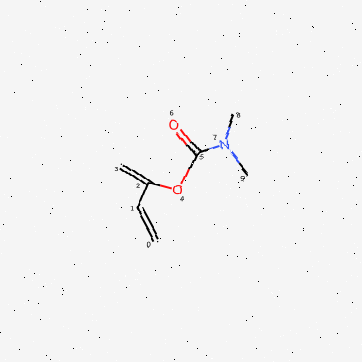 [CH]=CC(=[CH])OC(=O)N(C)C